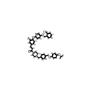 CC(C)Oc1ccc(OCc2ccc(CN3CCN(C(=O)/C=C/c4ccc(Oc5ccc(OCc6ccccc6Cl)cn5)c(F)c4)CC3)cc2)cc1